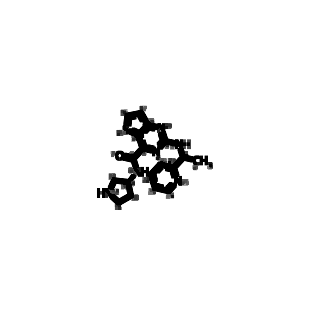 CC(Nc1nc(C(=O)N[C@H]2CCNC2)c2sccc2n1)c1ccccn1